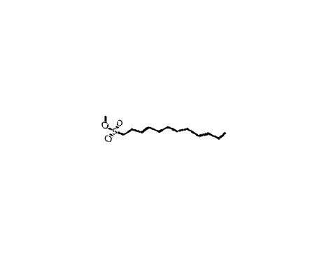 CCCCCCCCCCCCS(=O)(=O)OC